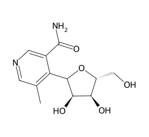 Cc1cncc(C(N)=O)c1C1O[C@H](CO)[C@@H](O)[C@H]1O